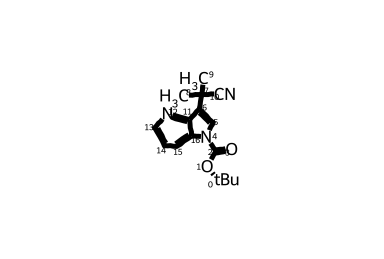 CC(C)(C)OC(=O)n1cc(C(C)(C)C#N)c2ncccc21